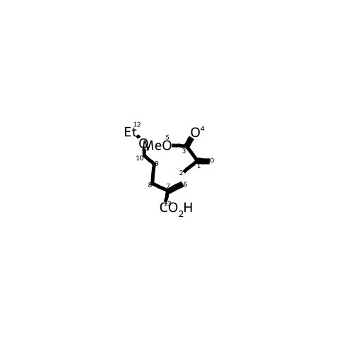 C=C(C)C(=O)OC.C=C(CCCOCC)C(=O)O